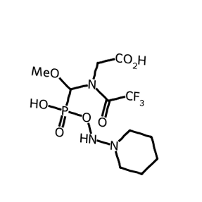 COC(N(CC(=O)O)C(=O)C(F)(F)F)P(=O)(O)ONN1CCCCC1